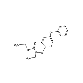 CCOC(=O)N(CC)Oc1ccc(Oc2ccccc2)cc1